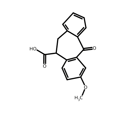 COc1ccc2c(c1)C(=O)c1ccccc1CC2C(=O)O